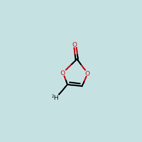 [2H]c1coc(=O)o1